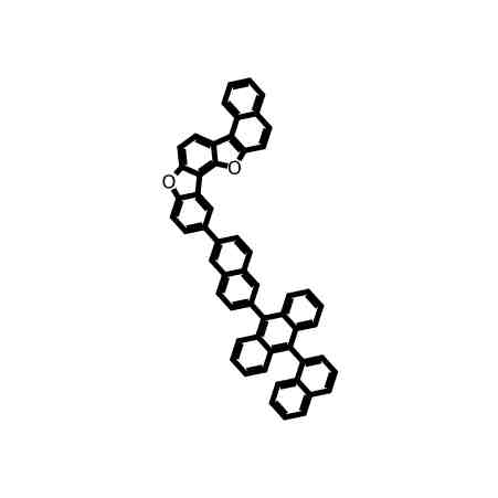 c1ccc2c(-c3c4ccccc4c(-c4ccc5cc(-c6ccc7oc8ccc9c(oc%10ccc%11ccccc%11c%109)c8c7c6)ccc5c4)c4ccccc34)cccc2c1